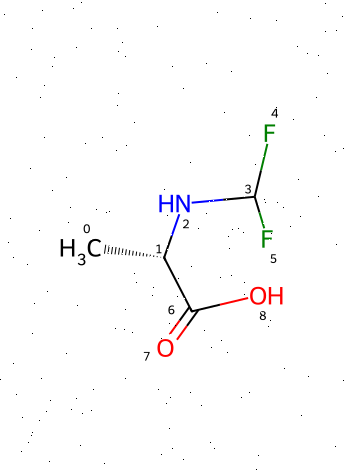 C[C@H](NC(F)F)C(=O)O